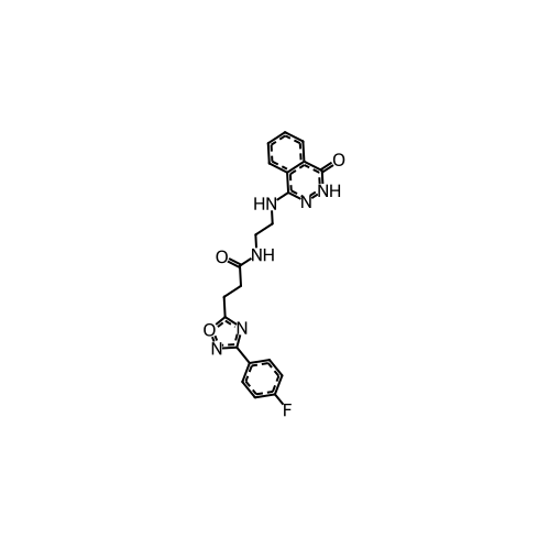 O=C(CCc1nc(-c2ccc(F)cc2)no1)NCCNc1n[nH]c(=O)c2ccccc12